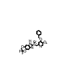 COc1cnc(C[S+]([O-])c2nc3cc4c(cc3[nH]2)OCC(F)(F)O4)cc1OCc1ccccc1